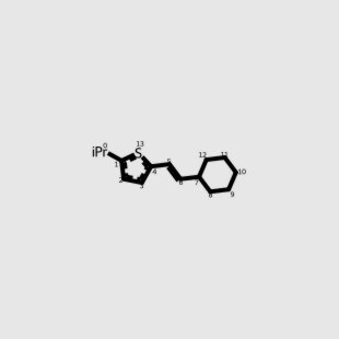 CC(C)c1ccc(/C=C/C2CCCCC2)s1